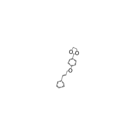 C(=C\c1ccccc1)/COc1ccc(C2OCCO2)cc1